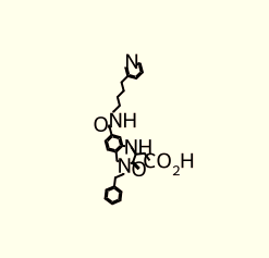 O=C(O)CC1Nc2cc(C(=O)NCCCCCc3cccnc3)ccc2CN(CCc2ccccc2)C1=O